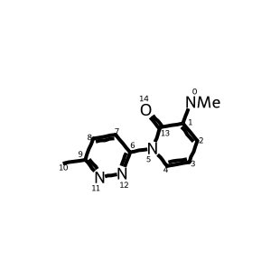 CNc1cccn(-c2ccc(C)nn2)c1=O